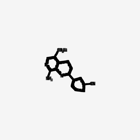 CCOC(=O)c1cnc(N)c2nc(-c3cccc(C#N)c3)ccc12